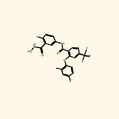 Cc1cc(F)ccc1Oc1cc(C(F)(F)F)ccc1C(=O)Nc1ccc(F)c(C(=O)NO)c1